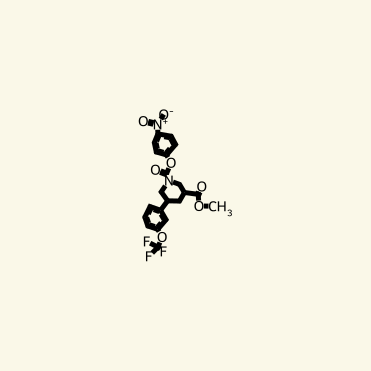 COC(=O)C1CC(c2cccc(OC(F)(F)F)c2)CN(C(=O)Oc2ccc([N+](=O)[O-])cc2)C1